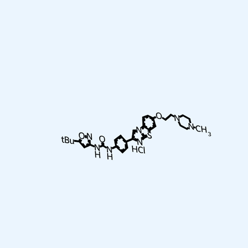 CN1CCN(CCOc2ccc3c(c2)sc2nc(-c4ccc(NC(=O)Nc5cc(C(C)(C)C)on5)cc4)cn23)CC1.Cl